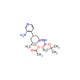 CC(=O)O[C@@H]1[C@@H](C)CC(c2ccncc2N)C[C@H]1NC(=O)OC(C)(C)C